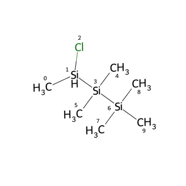 C[SiH](Cl)[Si](C)(C)[Si](C)(C)C